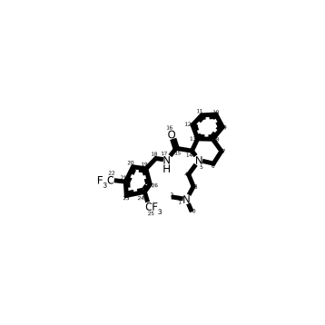 CN(C)CCN1CCc2ccccc2C1C(=O)NCc1cc(C(F)(F)F)cc(C(F)(F)F)c1